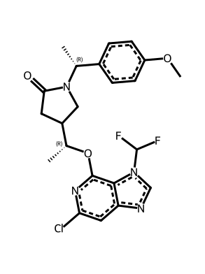 COc1ccc([C@@H](C)N2CC([C@@H](C)Oc3nc(Cl)cc4ncn(C(F)F)c34)CC2=O)cc1